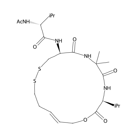 CC(=O)N[C@@H](C(=O)N[C@@H]1CSSCC/C=C/COC(=O)[C@H](C(C)C)NC(=O)C(C)(C)NC1=O)C(C)C